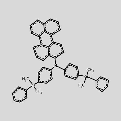 C[Si](C)(c1ccccc1)c1ccc(N(c2ccc([Si](C)(C)c3ccccc3)cc2)c2ccc3c4cccc5cccc(c6cccc2c63)c54)cc1